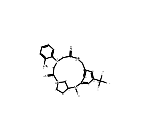 Cc1ccccc1N1CC(=O)NCc2cc(cc(C(F)(F)F)c2)N(F)C2CCN(C2)C(=O)C1